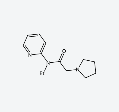 CCN(C(=O)CN1CCCC1)c1ccccn1